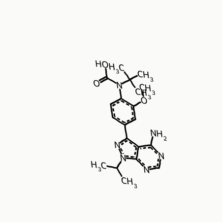 COc1cc(-c2nn(C(C)C)c3ncnc(N)c23)ccc1N(C(=O)O)C(C)(C)C